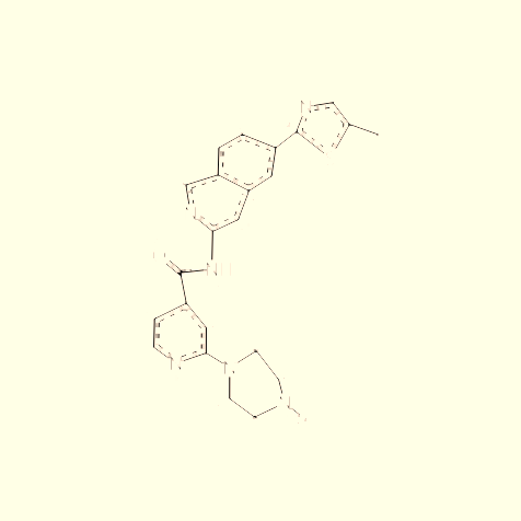 Cc1cnc(-c2ccc3cnc(NC(=O)c4ccnc(N5CCN(C)CC5)c4)cc3c2)s1